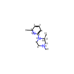 Cc1cccc(N2CCN(C)C[C@@H]2C)n1